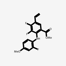 C=Cc1cc(C(=O)OC)c(Nc2ccc(OC)cc2F)c(F)c1F